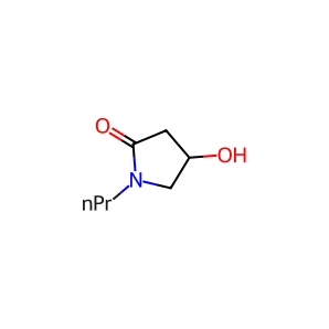 CCCN1CC(O)CC1=O